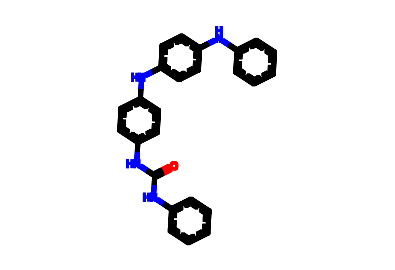 O=C(Nc1ccccc1)Nc1ccc(Nc2ccc(Nc3ccccc3)cc2)cc1